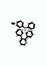 C#C.c1ccc(Pc2ccccc2)cc1.c1cncc(-c2cccnc2-c2cccnc2)c1